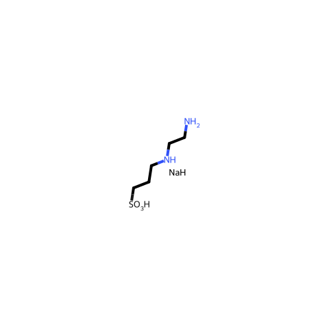 NCCNCCCS(=O)(=O)O.[NaH]